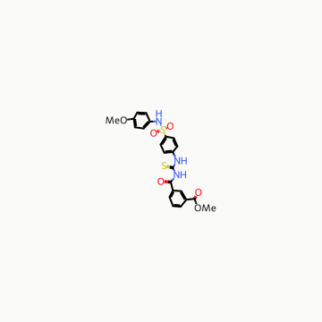 COC(=O)c1cccc(C(=O)NC(=S)Nc2ccc(S(=O)(=O)Nc3ccc(OC)cc3)cc2)c1